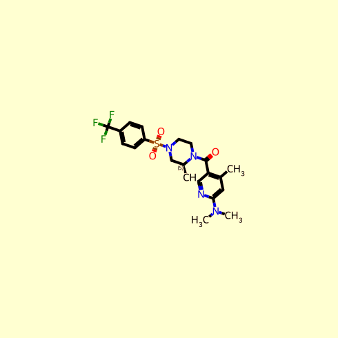 Cc1cc(N(C)C)ncc1C(=O)N1CCN(S(=O)(=O)c2ccc(C(F)(F)F)cc2)C[C@@H]1C